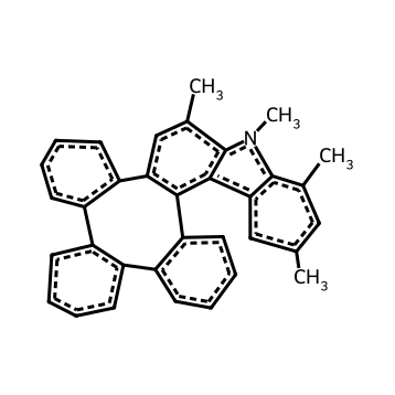 Cc1cc(C)c2c(c1)c1c3c(cc(C)c1n2C)-c1ccccc1-c1ccccc1-c1ccccc1-3